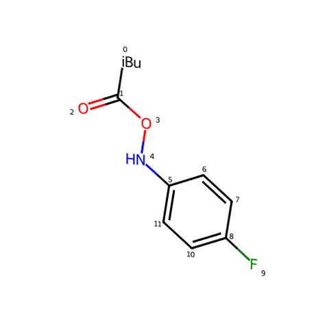 CCC(C)C(=O)ONc1ccc(F)cc1